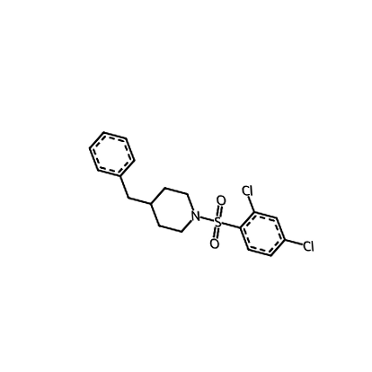 O=S(=O)(c1ccc(Cl)cc1Cl)N1CCC(Cc2ccccc2)CC1